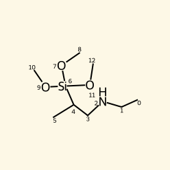 CCNCC(C)[Si](OC)(OC)OC